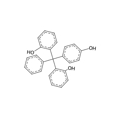 Oc1ccc(C(c2ccccc2)(c2ccccc2O)c2ccccc2O)cc1